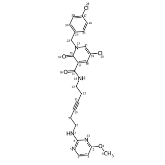 COc1ccnc(NCCC#CCCNC(=O)c2cc(Cl)cn(Cc3ccc(Cl)cc3)c2=O)n1